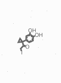 O=C(CI)C1(c2ccc(O)c(O)c2)CC1